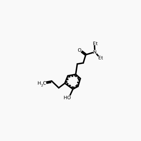 C=CCc1cc(CCC(=O)N(CC)CC)ccc1O